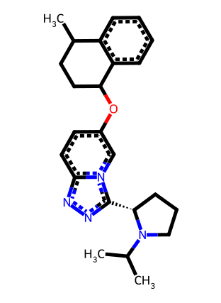 CC1CCC(Oc2ccc3nnc([C@@H]4CCCN4C(C)C)n3c2)c2ccccc21